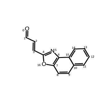 O=CC=Cc1nc2c(ccc3ccccc32)o1